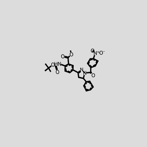 COC(=O)c1cc(C2=NN(C(=O)c3ccc([N+](=O)[O-])cc3)C(c3ccccc3)C2)ccc1NC(=O)OC(C)(C)C